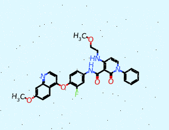 COCCNc1ccn(-c2ccccc2)c(=O)c1C(=O)Nc1ccc(Oc2ccnc3cc(OC)ccc23)c(F)c1